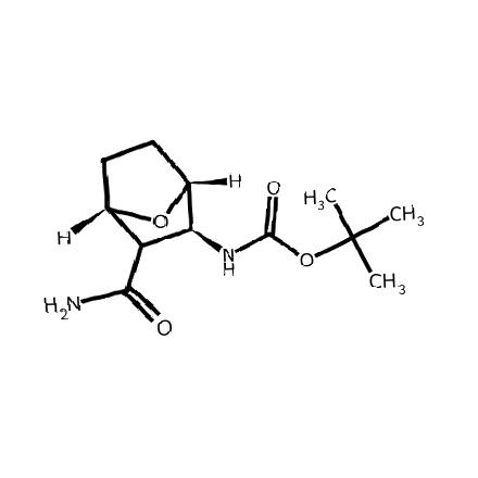 CC(C)(C)OC(=O)N[C@H]1C(C(N)=O)[C@@H]2CC[C@H]1O2